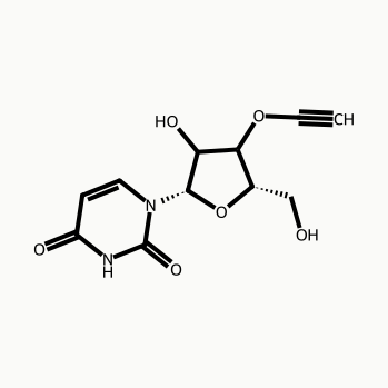 C#COC1C(O)[C@@H](n2ccc(=O)[nH]c2=O)O[C@H]1CO